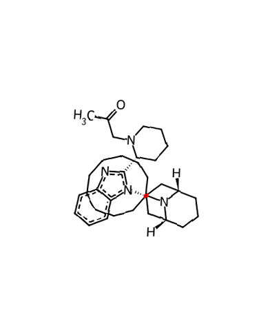 CC(=O)CN1CCCC[C@@H]1c1nc2ccccc2n1[C@H]1C[C@H]2CCC[C@@H](C1)N2C1CCCCCCCCC1